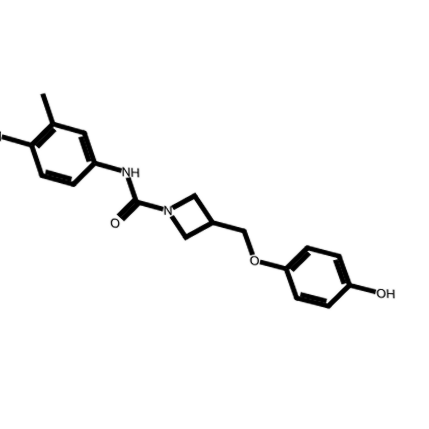 Cc1cc(NC(=O)N2CC(COc3ccc(O)cc3)C2)ccc1Cl